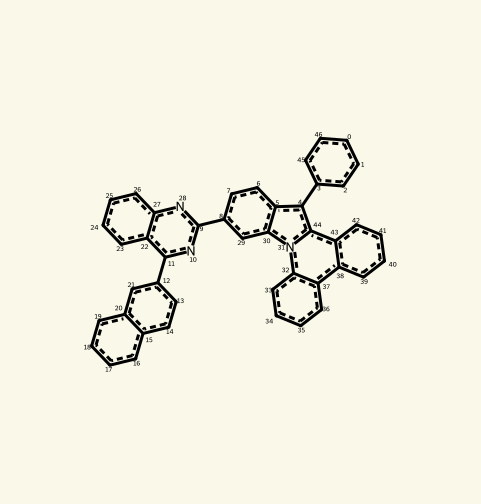 c1ccc(-c2c3ccc(-c4nc(-c5ccc6ccccc6c5)c5ccccc5n4)cc3n3c4ccccc4c4ccccc4c23)cc1